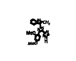 COc1ccc(-c2nc(-c3c(C)nn4ccccc34)sc2-c2nc[nH]n2)c(OC)c1